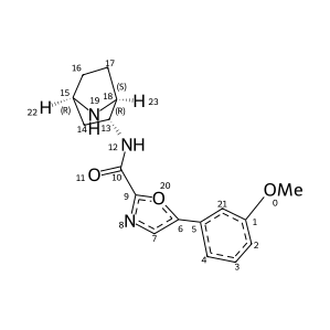 COc1cccc(-c2cnc(C(=O)N[C@@H]3C[C@H]4CC[C@@H]3N4)o2)c1